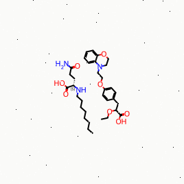 CCCCCCCCN[C@@H](CCC(N)=O)C(=O)O.CCOC(Cc1ccc(OCCN2CCOc3ccccc32)cc1)C(=O)O